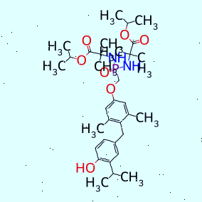 Cc1cc(OCP(=O)(NC(C)(C)C(=O)OC(C)C)NC(C)(C)C(=O)OC(C)C)cc(C)c1Cc1ccc(O)c(C(C)C)c1